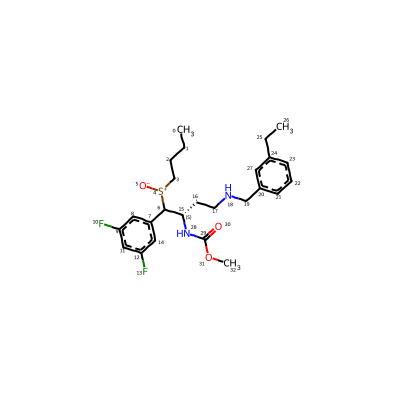 CCCC[S+]([O-])C(c1cc(F)cc(F)c1)[C@H]([CH]CNCc1cccc(CC)c1)NC(=O)OC